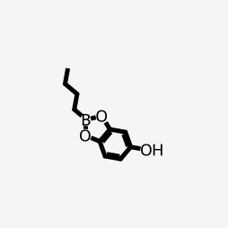 CCCCB1Oc2ccc(O)cc2O1